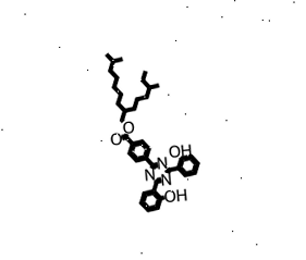 CCC(C)CCCC(CCCCCC(C)C)COC(=O)c1ccc(-c2nc(-c3ccccc3O)nc(-c3ccccc3O)n2)cc1